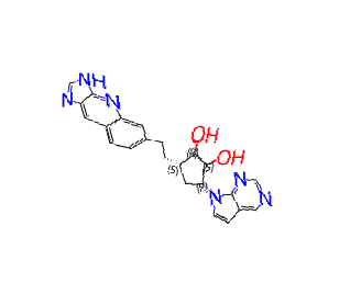 O[C@@H]1[C@@H](CCc2ccc3cc4nc[nH]c4nc3c2)C[C@@H](n2ccc3cncnc32)[C@@H]1O